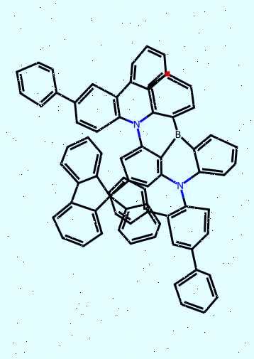 c1ccc(-c2ccc(N3c4ccccc4B4c5ccccc5N(c5ccc(-c6ccccc6)cc5-c5ccccc5)c5cc(C6(c7ccccc7)c7ccccc7-c7ccccc76)cc3c54)c(-c3ccccc3)c2)cc1